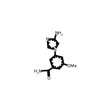 COc1cc(C(N)=O)cc(-n2cnc(N)c2)c1